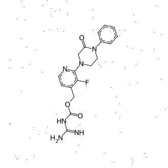 N=C(N)NC(=O)OCc1ccnc(N2CCN(c3ccccc3)C(=O)C2)c1F